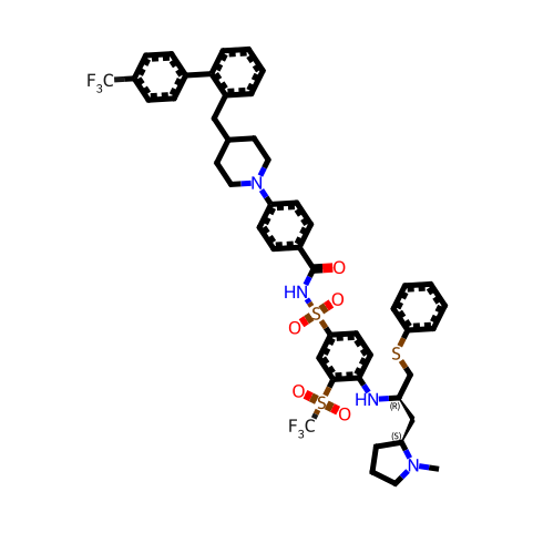 CN1CCC[C@H]1C[C@H](CSc1ccccc1)Nc1ccc(S(=O)(=O)NC(=O)c2ccc(N3CCC(Cc4ccccc4-c4ccc(C(F)(F)F)cc4)CC3)cc2)cc1S(=O)(=O)C(F)(F)F